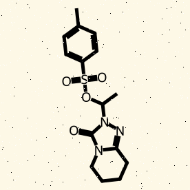 Cc1ccc(S(=O)(=O)OC(C)n2nc3n(c2=O)CCCC3)cc1